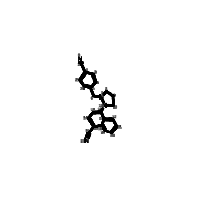 N#Cc1ccc(CN2CCCN2c2ccc(C#N)c3ccccc23)cc1